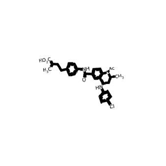 CC(=O)N1c2ccc(C(=O)Nc3ccc(CCC(C)C(=O)O)cc3)cc2C(Nc2ccc(Cl)cc2)CC1C